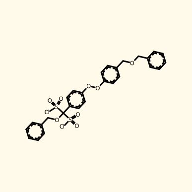 O=S(=O)(Cl)C(OCc1ccccc1)(c1ccc(OOc2ccc(COCc3ccccc3)cc2)cc1)S(=O)(=O)Cl